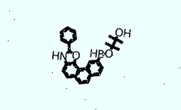 CC(C)(O)C(C)(C)OBc1ccc2ccc3ccc4c(c3c2c1)OC(c1ccccc1)N4